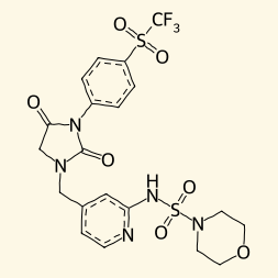 O=C1CN(Cc2ccnc(NS(=O)(=O)N3CCOCC3)c2)C(=O)N1c1ccc(S(=O)(=O)C(F)(F)F)cc1